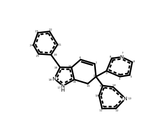 C1=CC(c2cccnc2)(c2cccnc2)Cc2[nH]nc(-c3ccccc3)c21